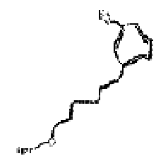 CCc1cccc(CCCCCCOC(C)C)c1